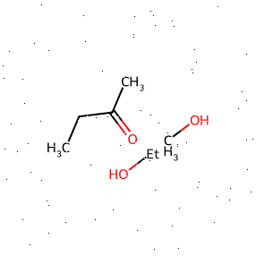 CCC(C)=O.CCO.CO